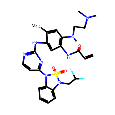 C=CC(=O)Nc1cc(Nc2nccc(N3c4ccccc4N(CC(F)F)S3(=O)=O)n2)c(OC)cc1N(C)CCN(C)C